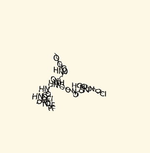 CCOCCOCC(=O)NC(C=O)CCCCNC(=O)C(CCCCNC(=O)CC(=O)Nc1ccccc1Oc1ncc(C(F)(F)F)cc1Cl)NC(=O)COCCOCCNC(=O)c1ccc(N2CCN(Cc3ccc(Cl)cc3)CC2)c([N+](=O)[O-])c1